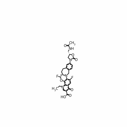 CCn1cc(C(=O)O)c(=O)c2cc(F)c(N3CCCc4cc(N5C[C@H](CNC(C)=O)OC5=O)ccc4C3)c(OC(F)F)c21